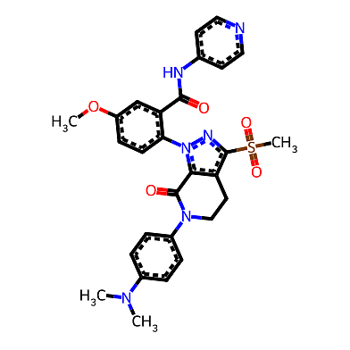 COc1ccc(-n2nc(S(C)(=O)=O)c3c2C(=O)N(c2ccc(N(C)C)cc2)CC3)c(C(=O)Nc2ccncc2)c1